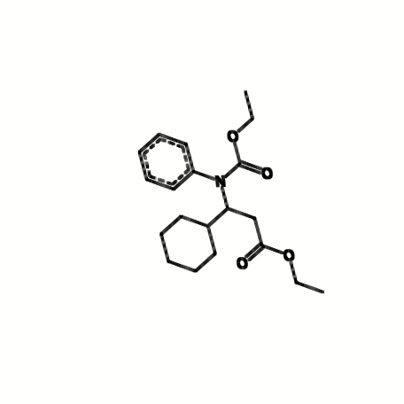 CCOC(=O)CC(C1CCCCC1)N(C(=O)OCC)c1ccccc1